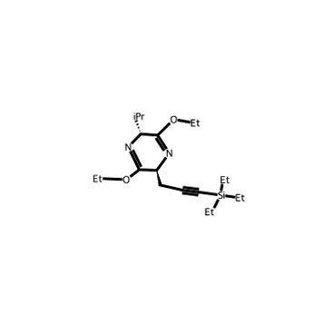 CCOC1=N[C@H](C(C)C)C(OCC)=N[C@H]1CC#C[Si](CC)(CC)CC